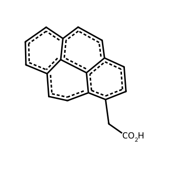 O=C(O)Cc1ccc2ccc3cccc4ccc1c2c34